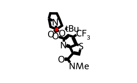 CNC(=O)c1csc2c(C(F)(F)F)cc(OC3CC4CCC(C3)N4C(=O)OC(C)(C)C)nc12